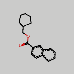 O=C(OCC1CCCCC1)c1ccc2ccccc2c1